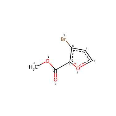 COC(=O)c1occc1Br